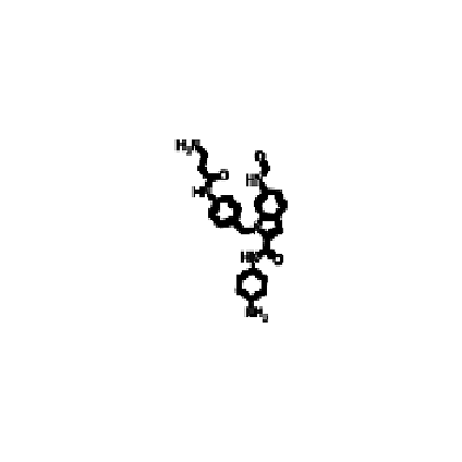 NCCC(=O)Nc1ccc(Cn2c(C(=O)N[C@H]3CC[C@H](N)CC3)cc3ccc(NC=O)cc32)cc1